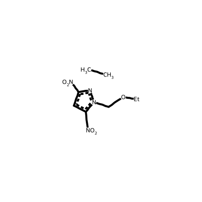 CC.CCOCn1nc([N+](=O)[O-])cc1[N+](=O)[O-]